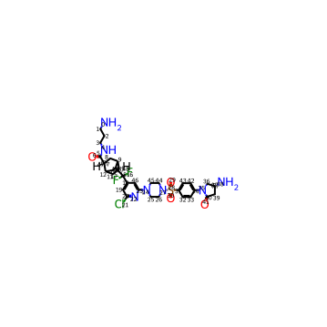 NCCCNC(=O)[C@@H]1CC2CCC1C[C@@H]2C(F)(F)c1cc(Cl)nc(N2CCN(S(=O)(=O)c3ccc(N4C[C@H](N)CC4=O)cc3)CC2)c1